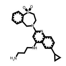 NCCCNc1cc(N2CCS(=O)(=O)c3ccccc3C2)nc2ccc(C3CC3)cc12